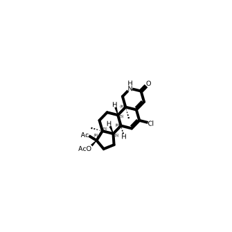 CC(=O)O[C@]1(C(C)=O)CC[C@H]2[C@@H]3C=C(Cl)C4=CC(=O)NC[C@]4(C)[C@H]3CC[C@@]21C